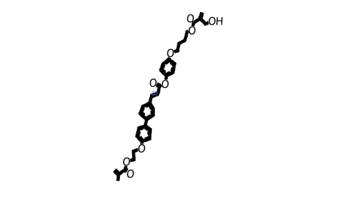 C=C(C)C(=O)OCCOc1ccc(-c2ccc(/C=C/C(=O)Oc3ccc(OCCCCOC(=O)C(=C)CO)cc3)cc2)cc1